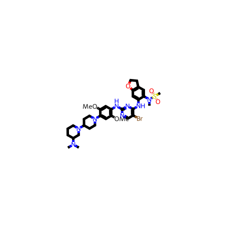 COc1cc(N2CCC(N3CCCC(N(C)C)C3)CC2)c(OC)cc1Nc1ncc(Br)c(Nc2cc3c(cc2N(C)S(C)(=O)=O)CCO3)n1